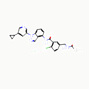 CC(C)(C)C(=O)NCc1ccc(Cl)c(C(=O)Nc2cccc3c2cnn3-c2cncc(C3CC3)c2)c1.Cl